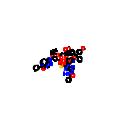 COc1ccc(C(OC[C@H]2O[C@@H](n3cnc4c(NC(=O)c5ccccc5)ncnc43)[C@H](OP(=S)(OCCC#N)OC[C@H]3C[C@@H](n4cc5c6c(ncnc64)N(C(=O)c4ccccc4)CCC5)[C@H](O[Si](C)(C)C(C)(C)C)[C@@H]3OC(=O)CCC(C)=O)[C@@H]2O[Si](C)(C)C(C)(C)C)(c2ccccc2)c2ccc(OC)cc2)cc1